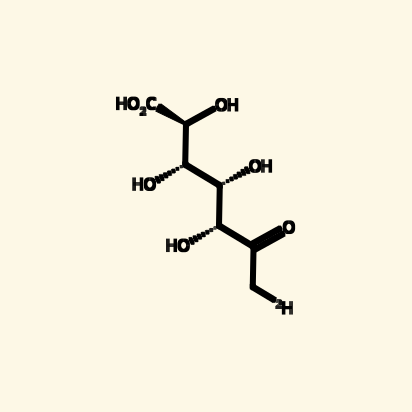 [2H]CC(=O)[C@H](O)[C@@H](O)[C@H](O)[C@H](O)C(=O)O